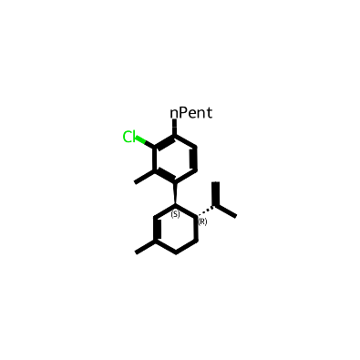 C=C(C)[C@@H]1CCC(C)=C[C@H]1c1ccc(CCCCC)c(Cl)c1C